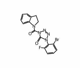 O=C(N1CCc2ccccc21)n1nnn(-c2c(F)cccc2Br)c1=O